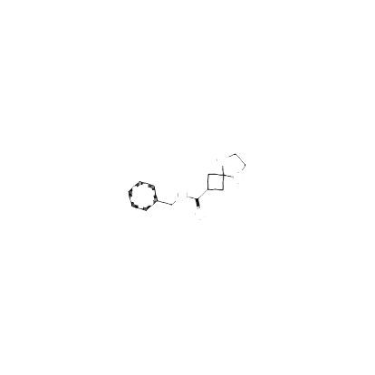 O=C(OCc1ccccc1)C1CC2(C1)OCCO2